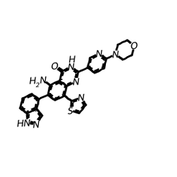 Nc1c(-c2cccc3[nH]ncc23)cc(-c2nccs2)c2nc(-c3ccc(N4CCOCC4)nc3)[nH]c(=O)c12